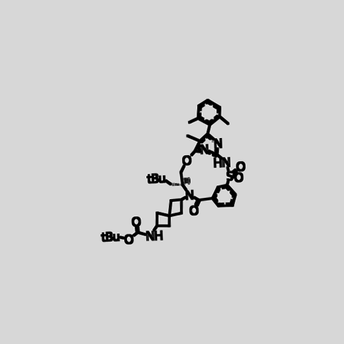 Cc1cccc(C)c1-c1nc2nc(c1C)OC[C@@H](CC(C)(C)C)N(C1CC3(CC(NC(=O)OC(C)(C)C)C3)C1)C(=O)c1cccc(c1)S(=O)(=O)N2